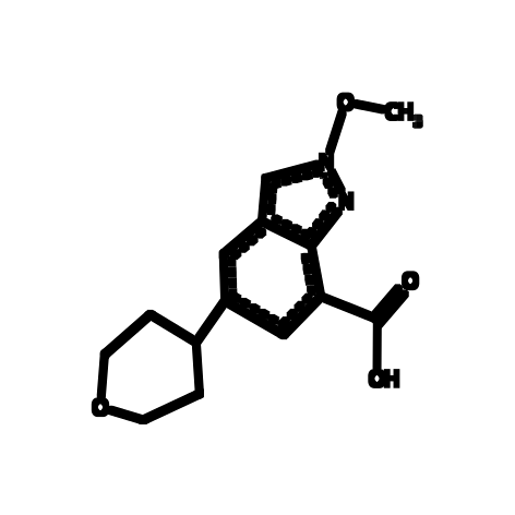 COn1cc2cc(C3CCOCC3)cc(C(=O)O)c2n1